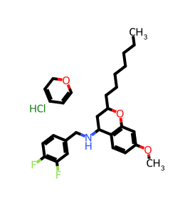 C1=CCOC=C1.CCCCCCCC1CC(NCc2ccc(F)c(F)c2)c2ccc(OC)cc2O1.Cl